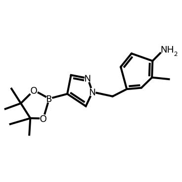 Cc1cc(Cn2cc(B3OC(C)(C)C(C)(C)O3)cn2)ccc1N